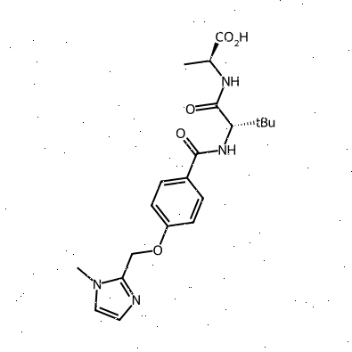 C[C@H](NC(=O)[C@@H](NC(=O)c1ccc(OCc2nccn2C)cc1)C(C)(C)C)C(=O)O